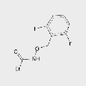 CCC(=O)NOCc1c(F)cccc1F